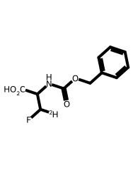 [2H]C(F)C(NC(=O)OCc1ccccc1)C(=O)O